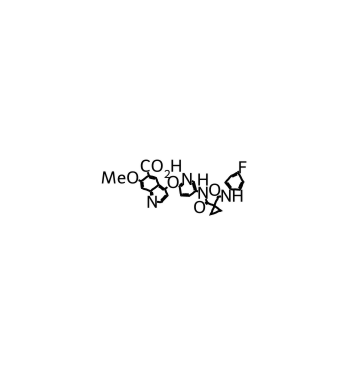 COc1cc2nccc(Oc3ccc(NC(=O)C4(C(=O)Nc5ccc(F)cc5)CC4)cn3)c2cc1C(=O)O